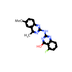 COc1ccc2nc(Nc3nc(O)c4c(F)cccc4n3)nc(C)c2c1